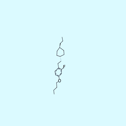 CCCCOc1ccc(CC[C@H]2CC[C@H](CCC)CC2)c(F)c1